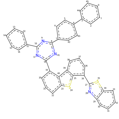 c1ccc(-c2ccc(-c3nc(-c4ccccc4)nc(-c4cccc5sc6c(-c7nc8ccccc8s7)cccc6c45)n3)cc2)cc1